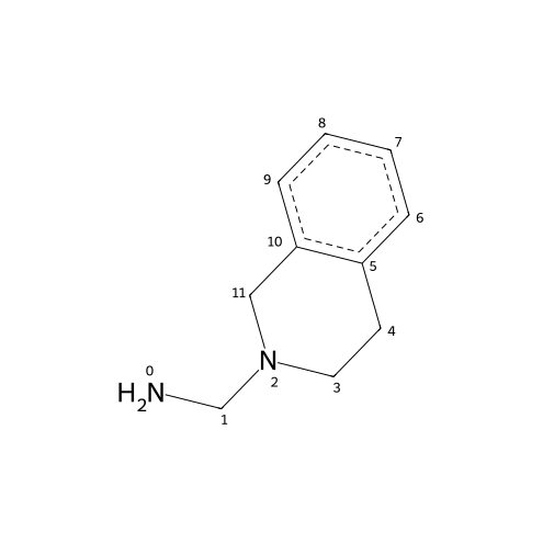 NCN1CCc2ccccc2C1